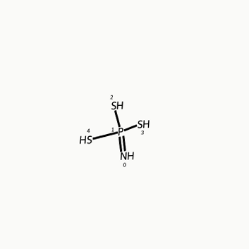 N=P(S)(S)S